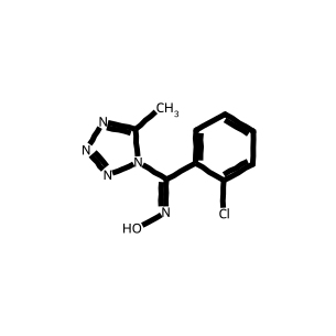 Cc1nnnn1C(=NO)c1ccccc1Cl